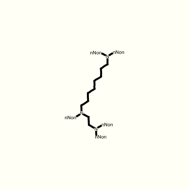 CCCCCCCCCN(CCCCCCCCC)CCCCCCCCN(CCCCCCCCC)CCN(CCCCCCCCC)CCCCCCCCC